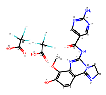 COc1c(O)ccc2c1N=C(NC(=O)c1cnc(N)nc1)N1CCN=C21.O=C(O)C(F)(F)F.O=C(O)C(F)(F)F